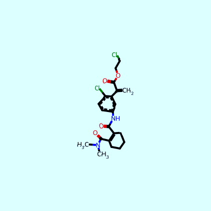 C=C(C(=O)OCCCl)c1cc(NC(=O)C2=C(C(=O)N(C)C)CCCC2)ccc1Cl